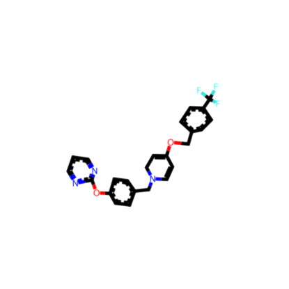 FC(F)(F)c1ccc(COC2=CCN(Cc3ccc(Oc4ncccn4)cc3)C=C2)cc1